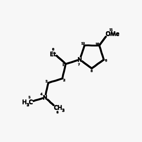 CCC(CCN(C)C)N1CCC(OC)C1